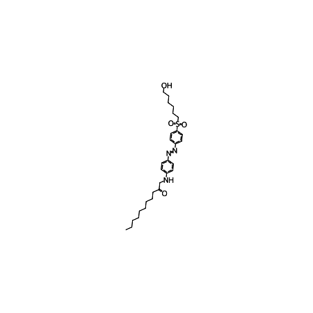 CCCCCCCCCC(=O)CNc1ccc(/N=N/c2ccc(S(=O)(=O)CCCCCCO)cc2)cc1